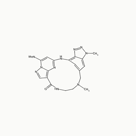 CNc1cc2nc3c(cnn13)C(=O)NCCN(C)Cc1cc(c3nnn(C)c3c1)N2